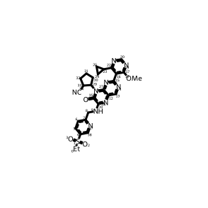 CCS(=O)(=O)c1ccc(CNc2nc3cnc(-c4c(OC)ncnc4C4CC4)nc3n(C3CCCC3C#N)c2=O)nc1